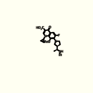 CCN[C@@H](C)[C@@H]1CCN(c2c(F)cc3c(=O)c(C(=O)O)cn(C4CC4)c3c2OC)C1